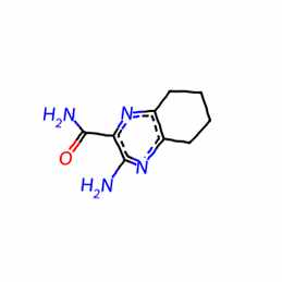 NC(=O)c1nc2c(nc1N)CCCC2